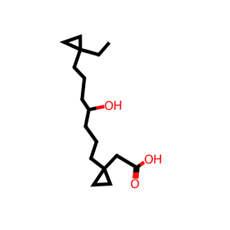 CCC1(CCCC(O)CCCC2(CC(=O)O)CC2)CC1